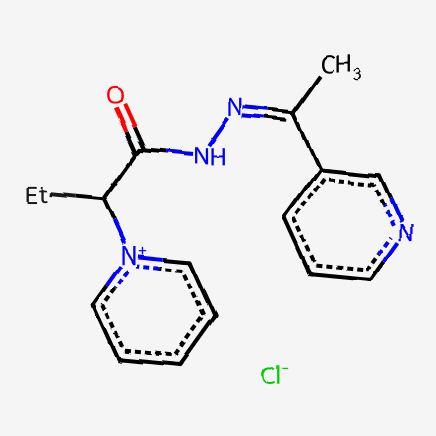 CCC(C(=O)N/N=C(/C)c1cccnc1)[n+]1ccccc1.[Cl-]